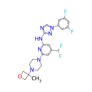 CC1(N2CCN(c3cc(C(F)F)cc(Nc4ncn(-c5cc(F)cc(F)c5)n4)n3)CC2)COC1